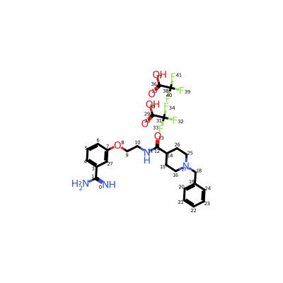 N=C(N)c1cccc(OCCNC(=O)C2CCN(Cc3ccccc3)CC2)c1.O=C(O)C(F)(F)F.O=C(O)C(F)(F)F